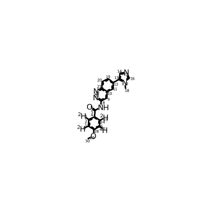 [2H]c1c([2H])c(C(=O)Nc2cc3cc(-c4cncn4C)ccc3nn2)c([2H])c([2H])c1OC